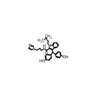 CN(C)CCn1c(C(=O)NCCCn2ccnc2)c(C(c2ccc(O)cc2)c2ccc(O)cc2)c2ccccc21